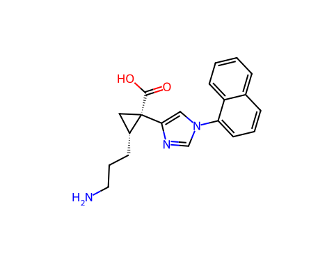 NCCC[C@@H]1C[C@@]1(C(=O)O)c1cn(-c2cccc3ccccc23)cn1